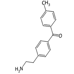 Cc1ccc(C(=O)c2ccc(CCN)cc2)cc1